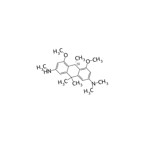 CNc1cc(OC)c2c(c1)C(C)(C)c1cc(N(C)C)cc(OC)c1[C@H]2C